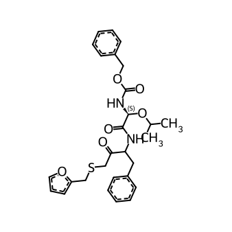 CC(C)O[C@H](NC(=O)OCc1ccccc1)C(=O)NC(Cc1ccccc1)C(=O)CSCc1ccco1